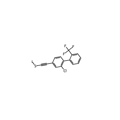 FC(F)(F)c1ccccc1-c1ccc(C#CSI)cc1Cl